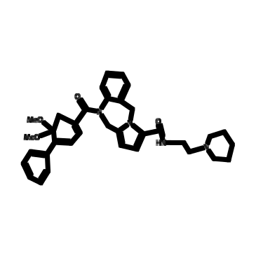 COC1(OC)CC(C(=O)N2Cc3ccc(C(=O)NCCN4CCCCC4)n3Cc3ccccc32)=CC=C1c1ccccc1